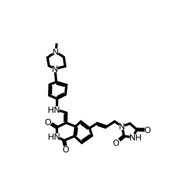 CN1CCN(c2ccc(N/C=C3\C(=O)NC(=O)c4ccc(/C=C/CN5CC(=O)NC5=O)cc43)cc2)CC1